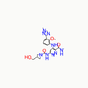 CNC(=O)c1nnc(NC(=O)N2CC(CO)C2)cc1Nc1cccc(-c2ncn(C)n2)c1OC